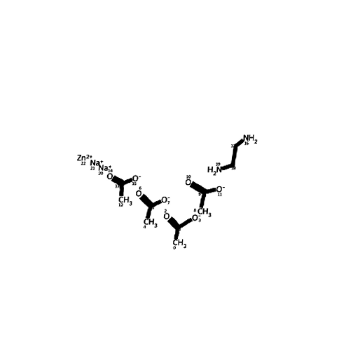 CC(=O)[O-].CC(=O)[O-].CC(=O)[O-].CC(=O)[O-].NCCN.[Na+].[Na+].[Zn+2]